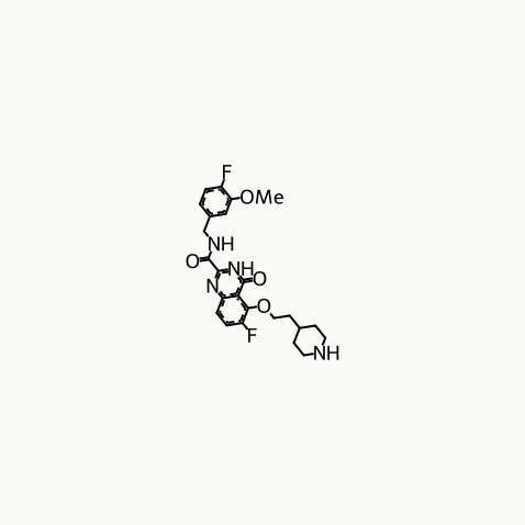 COc1cc(CNC(=O)c2nc3ccc(F)c(OCCC4CCNCC4)c3c(=O)[nH]2)ccc1F